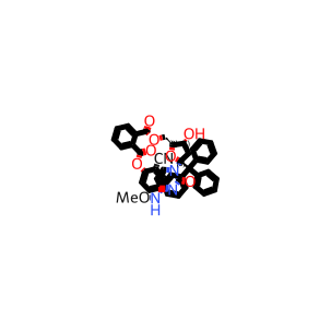 CONc1ccn([C@@]2(C(c3ccccc3)(c3ccccc3)c3ccccc3)C[C@H](O)[C@@H](COC(=O)c3ccccc3C(=O)Oc3ccccc3C#N)O2)c(=O)n1